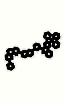 C1=CCC(C2(c3ccccc3)c3cc4c(cc3C3C=CC=CC32)c(-c2cccc(-c3ccc5ccc(-c6ccc7ccc8ccc(-c9ccccc9)nc8c7n6)cc5c3)c2)nc2ccccc24)C=C1